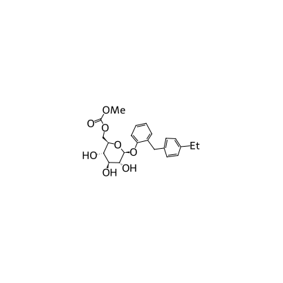 CCc1ccc(Cc2ccccc2O[C@@H]2O[C@H](COC(=O)OC)[C@@H](O)[C@H](O)[C@H]2O)cc1